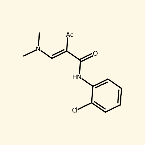 CC(=O)C(=CN(C)C)C(=O)Nc1ccccc1Cl